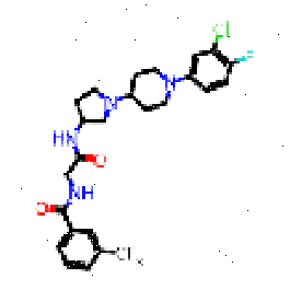 O=C(CNC(=O)c1cccc(C(F)(F)F)c1)NC1CCN(C2CCN(c3ccc(F)c(Cl)c3)CC2)C1